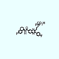 O=C(N[C@@H]1CCCc2cc(F)ccc21)c1ccc2nc(-c3ccc(F)cc3)c(CCCC(F)(F)C(=O)O)nc2c1